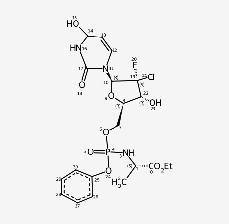 CCOC(=O)[C@H](C)NP(=O)(OC[C@H]1O[C@@H](N2C=CC(O)NC2=O)[C@@](F)(Cl)[C@@H]1O)Oc1ccccc1